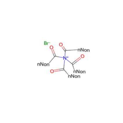 CCCCCCCCCC(=O)[N+](C(=O)CCCCCCCCC)(C(=O)CCCCCCCCC)C(=O)CCCCCCCCC.[Br-]